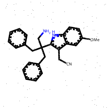 COc1ccc2[nH]c(C(CN)(Cc3ccccc3)Cc3ccccc3)c(CC#N)c2c1